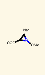 CON1CC1C(=O)[O-].[Na+]